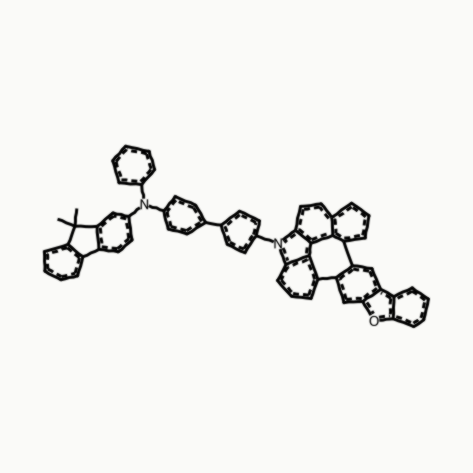 CC1(C)c2ccccc2-c2ccc(N(c3ccccc3)c3ccc(-c4ccc(-n5c6cccc7c6c6c8c(cccc8ccc65)-c5cc6c(cc5-7)oc5ccccc56)cc4)cc3)cc21